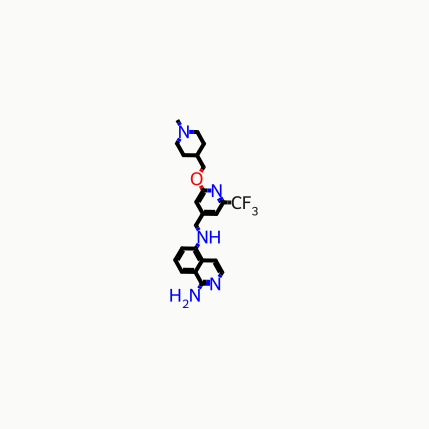 CN1CCC(COc2cc(CNc3cccc4c(N)nccc34)cc(C(F)(F)F)n2)CC1